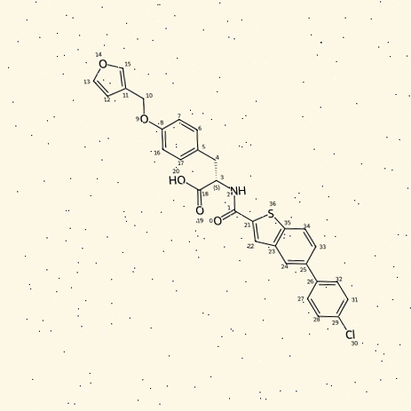 O=C(N[C@@H](Cc1ccc(OCc2ccoc2)cc1)C(=O)O)c1cc2cc(-c3ccc(Cl)cc3)ccc2s1